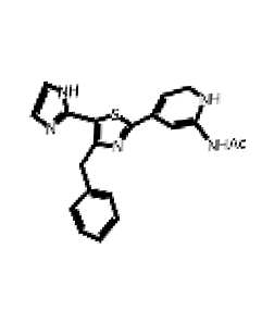 CC(=O)NC1=CC(c2nc(Cc3ccccc3)c(-c3ncc[nH]3)s2)=CCN1